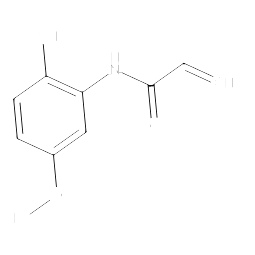 C=CC(=O)Nc1cc(OCC)ccc1C